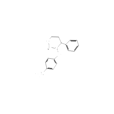 O=[N+]([O-])c1ccc(ON2C(c3ccccc3)CCO[P]2=O)cc1